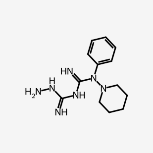 N=C(NN)NC(=N)N(c1ccccc1)N1CCCCC1